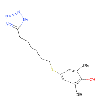 CC(C)(C)c1cc(SCCCCCCc2nnn[nH]2)cc(C(C)(C)C)c1O